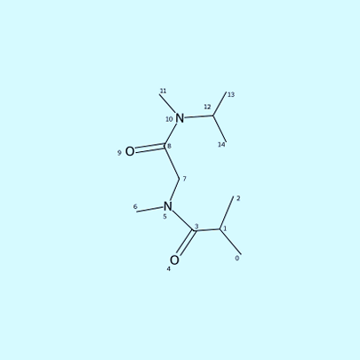 CC(C)C(=O)N(C)CC(=O)N(C)C(C)C